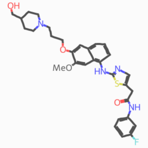 COc1cc2c(Nc3ncc(CC(=O)Nc4cccc(F)c4)s3)cccc2cc1OCCCN1CCC(CO)CC1